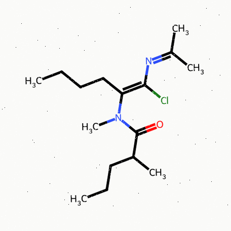 CCCC/C(=C(/Cl)N=C(C)C)N(C)C(=O)C(C)CCC